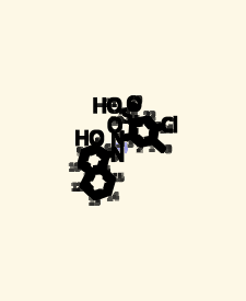 Cc1cc(/N=N/c2c(O)ccc3ccccc23)c(S(=O)(=O)O)cc1Cl